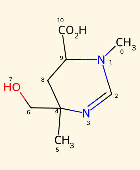 CN1C=NC(C)(CO)CC1C(=O)O